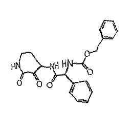 O=C(NC(C(=O)NC1CCNC(=O)C1=O)c1ccccc1)OCc1ccccc1